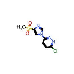 CS(=O)(=O)c1cn(-c2ccc(Cl)nn2)cn1